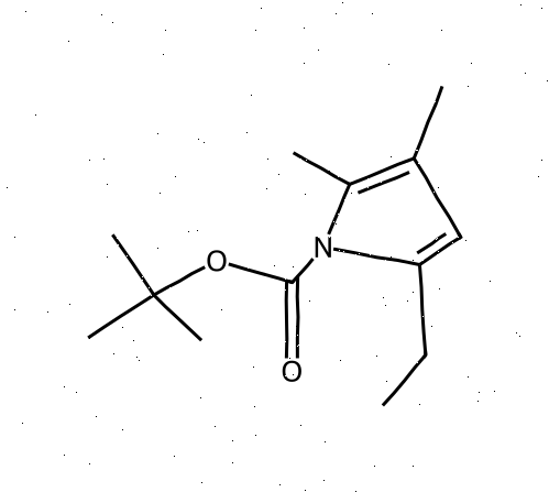 CCc1cc(C)c(C)n1C(=O)OC(C)(C)C